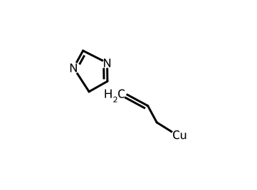 C1=NC=NC1.C=C[CH2][Cu]